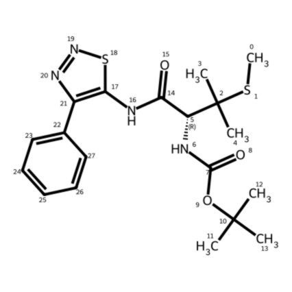 CSC(C)(C)[C@H](NC(=O)OC(C)(C)C)C(=O)Nc1snnc1-c1ccccc1